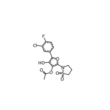 CC(=O)Oc1c(N2CCCS2(=O)=O)oc(-c2ccc(F)c(Cl)c2)c1O